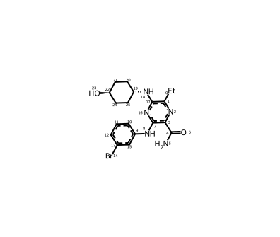 CCc1nc(C(N)=O)c(Nc2cccc(Br)c2)nc1N[C@H]1CC[C@H](O)CC1